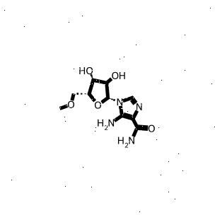 COC[C@H]1O[C@@H](n2cnc(C(N)=O)c2N)C(O)[C@H]1O